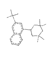 CC1(C)CC(c2cc(C(C)(C)C)cc3ccccc23)CC(C)(C)C1